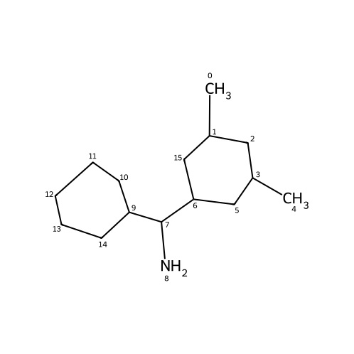 CC1CC(C)CC(C(N)C2CCCCC2)C1